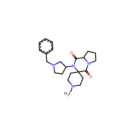 CN1CCC2(CC1)C(=O)N1CCCC1C(=O)N2C1CCN(Cc2ccccc2)C1